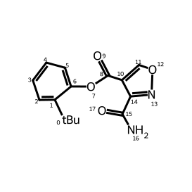 CC(C)(C)c1ccccc1OC(=O)c1conc1C(N)=O